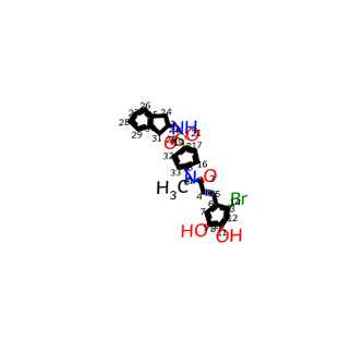 CN(C(=O)/C=C/c1cc(O)c(O)cc1Br)c1ccc(S(=O)(=O)NC2Cc3ccccc3C2)cc1